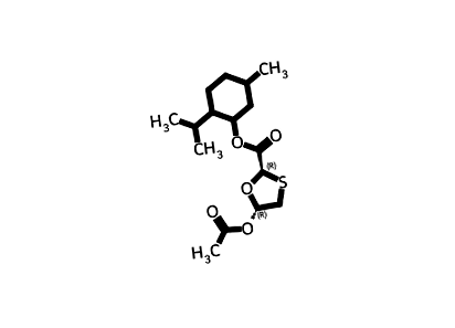 CC(=O)O[C@H]1CS[C@H](C(=O)OC2CC(C)CCC2C(C)C)O1